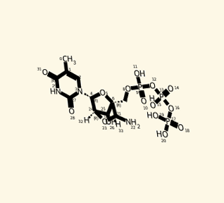 Cc1cn([C@@H]2O[C@@]3(COP(=O)(O)OP(=O)(O)OP(=O)(O)O)C(N)O[C@@H]2[C@@H]3O)c(=O)[nH]c1=O